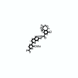 COc1nc(C(F)F)ccc1-c1ccc2cnc(CNC(=O)c3cc(Cl)c4c(c3)S(=O)(=O)[C@@H](F)COC4)cc2n1